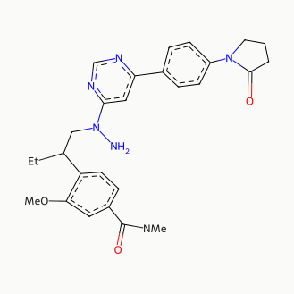 CCC(CN(N)c1cc(-c2ccc(N3CCCC3=O)cc2)ncn1)c1ccc(C(=O)NC)cc1OC